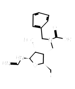 C[C@@H]1[C@H](CN(Cc2ccccc2)C(=O)O)[C@@H](CI)O[C@H]1NC=N